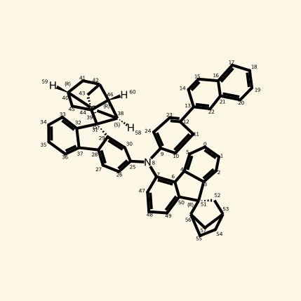 c1ccc2c(c1)-c1c(N(c3ccc(-c4ccc5ccccc5c4)cc3)c3ccc4c(c3)[C@@]3(c5ccccc5-4)[C@H]4C[C@H]5CC6C[C@]3(C5)[C@H]64)cccc1[C@@]21CC2CCC1C2